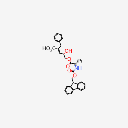 CC(C)[C@H](NC(=O)OCC1c2ccccc2-c2ccccc21)C(=O)OCC(O)C=C(Cc1ccccc1)C(=O)O